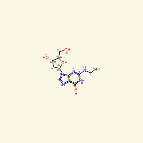 CC(C)CNc1nc2c(ncn2[C@H]2C[C@H](O)[C@@H](CO)O2)c(=O)[nH]1